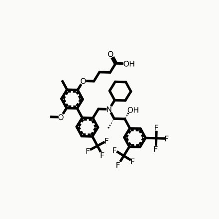 COc1cc(C)c(OCCCC(=O)O)cc1-c1ccc(C(F)(F)F)cc1CN(C1CCCCC1)[C@@H](C)[C@H](O)c1cc(C(F)(F)F)cc(C(F)(F)F)c1